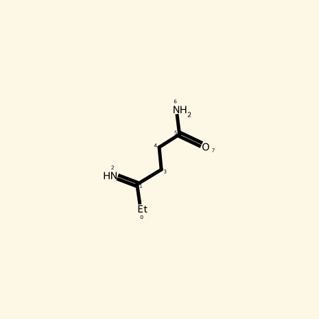 CCC(=N)CCC(N)=O